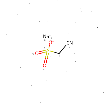 N#CCS(=O)(=O)[O-].[Na+]